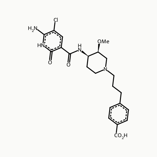 CO[C@H]1CN(CCCc2ccc(C(=O)O)cc2)CC[C@H]1NC(=O)c1cc(Cl)c(N)[nH]c1=O